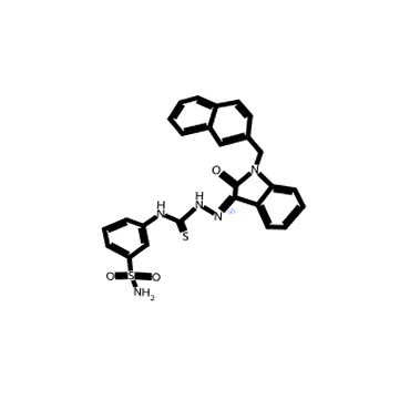 NS(=O)(=O)c1cccc(NC(=S)N/N=C2\C(=O)N(Cc3ccc4ccccc4c3)c3ccccc32)c1